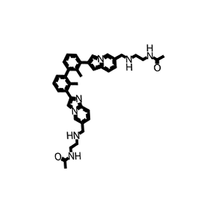 CC(=O)NCCNCc1ccc2cc(-c3cccc(-c4cccc(-c5cn6cc(CNCCNC(C)=O)ccc6n5)c4C)c3C)cn2c1